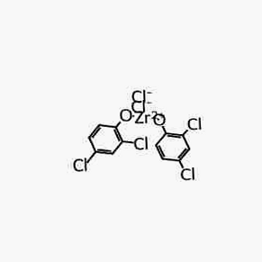 Clc1ccc([O][Zr+2][O]c2ccc(Cl)cc2Cl)c(Cl)c1.[Cl-].[Cl-]